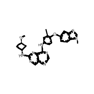 CO[C@H]1C[C@@H](Nc2ncc3ncnc(Nc4ccc(Oc5ccc6c(c5)ncn6C)c(C)c4)c3n2)C1